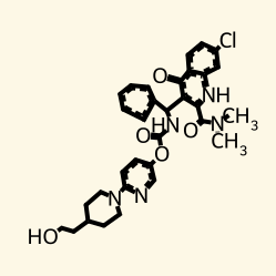 CN(C)C(=O)c1[nH]c2cc(Cl)ccc2c(=O)c1C(NC(=O)Oc1ccc(N2CCC(CCO)CC2)nc1)c1ccccc1